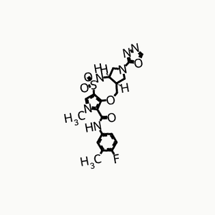 Cc1cc(NC(=O)c2c3c(cn2C)S(=O)(=O)N[C@H]2CN(c4nnco4)C[C@H]2CO3)ccc1F